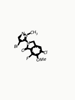 COc1c(Cl)cc2c(c1F)C(=O)N(c1c(Br)cnn1C)C2